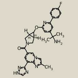 Cc1cn2cc(C(=O)N3C[C@@H]4C(Oc5cc(C(C)(C)N)cc(-c6ccc(F)cc6)n5)[C@@H]4C3)cc(-c3nc[nH]n3)c2n1